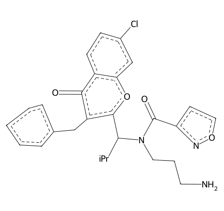 CC(C)C(c1oc2cc(Cl)ccc2c(=O)c1Cc1ccccc1)N(CCCN)C(=O)c1ccon1